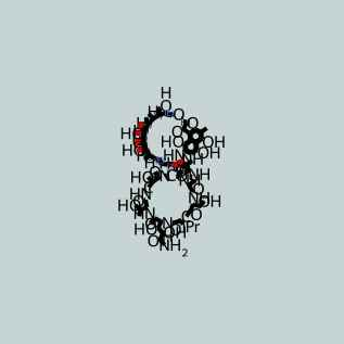 C/C1=C/C=C/[C@H](C)[C@H](O)[C@@H](C)[C@@H](O)[C@@H](C)[C@H](C)C(C)[C@@H](CO)/C=C/O[C@@]2(C)Oc3c(C)c(O)c4c(O)c(c(NC(C)C(C)C(=O)NCC5NC(=O)CNC(=O)C(O)CNC(=O)C(C(C)O)NC(=O)C(C(O)C(O)C(N)=O)NC(=O)C(C(C)C)CC(=O)C(CO)NC5=O)c(O)c4c3C2=O)NC1=O